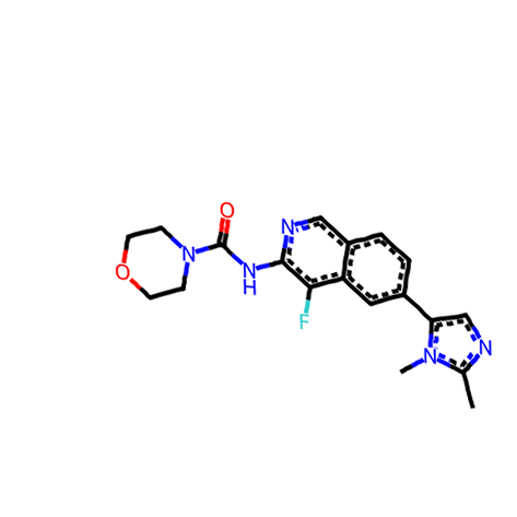 Cc1ncc(-c2ccc3cnc(NC(=O)N4CCOCC4)c(F)c3c2)n1C